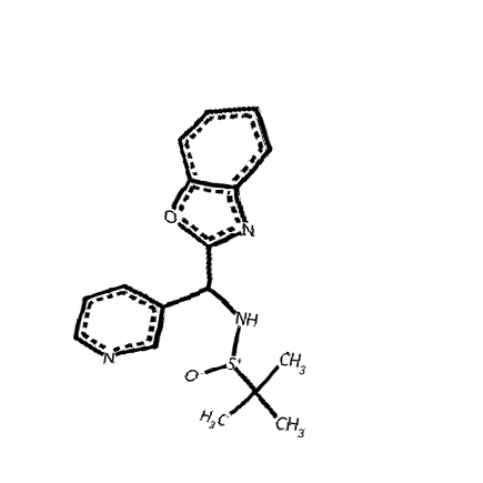 CC(C)(C)[S+]([O-])NC(c1cccnc1)c1nc2ccccc2o1